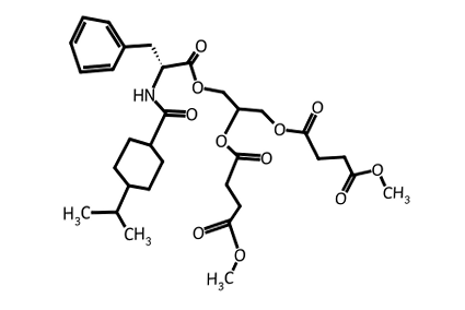 COC(=O)CCC(=O)OCC(COC(=O)[C@@H](Cc1ccccc1)NC(=O)C1CCC(C(C)C)CC1)OC(=O)CCC(=O)OC